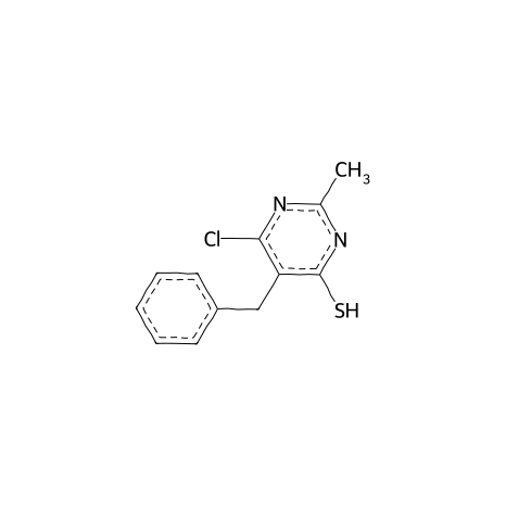 Cc1nc(S)c(Cc2ccccc2)c(Cl)n1